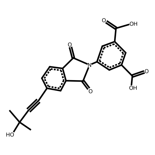 CC(C)(O)C#Cc1ccc2c(c1)C(=O)N(c1cc(C(=O)O)cc(C(=O)O)c1)C2=O